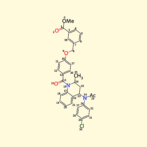 COC(=O)c1cccc(COc2ccc(C(=O)N3c4ccccc4C(N(C(C)=O)c4ccc(Cl)cc4)CC3C)cc2)c1